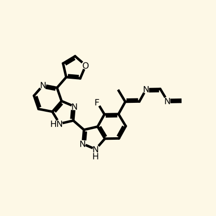 C=N/C=N\C=C(/C)c1ccc2[nH]nc(-c3nc4c(-c5ccoc5)nccc4[nH]3)c2c1F